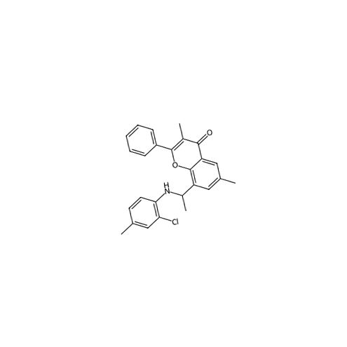 Cc1ccc(NC(C)c2cc(C)cc3c(=O)c(C)c(-c4ccccc4)oc23)c(Cl)c1